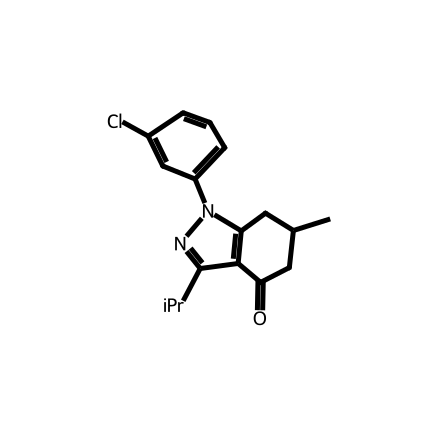 CC1CC(=O)c2c(C(C)C)nn(-c3cccc(Cl)c3)c2C1